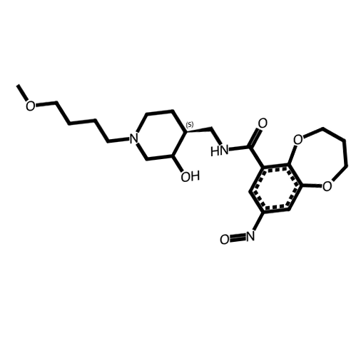 COCCCCN1CC[C@@H](CNC(=O)c2cc(N=O)cc3c2OCCCO3)C(O)C1